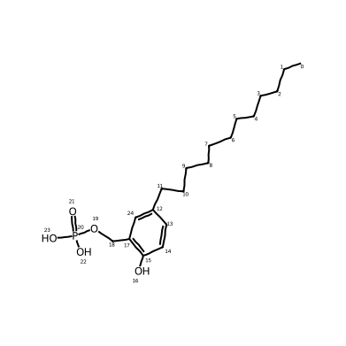 CCCCCCCCCCCCc1ccc(O)c(COP(=O)(O)O)c1